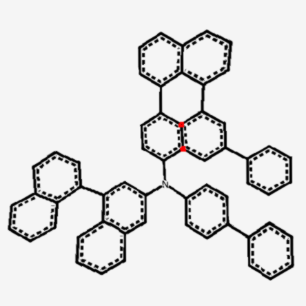 c1ccc(-c2ccc(N(c3ccc(-c4cccc5cccc(-c6cccc(-c7ccccc7)c6)c45)cc3)c3cc(-c4cccc5ccccc45)c4ccccc4c3)cc2)cc1